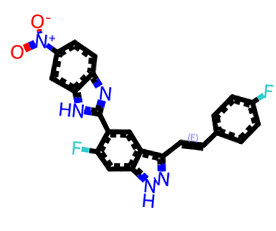 O=[N+]([O-])c1ccc2nc(-c3cc4c(/C=C/c5ccc(F)cc5)n[nH]c4cc3F)[nH]c2c1